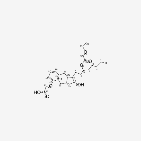 CCCCCC(CCC1C(O)CC2Cc3c(cccc3OCC(=O)O)CC21)OC(=O)COCC